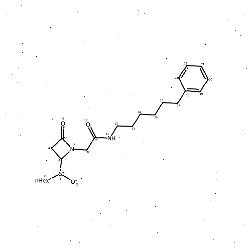 CCCCCC[S+]([O-])C1CC(=O)N1CC(=O)NCCCCCCc1ccccc1